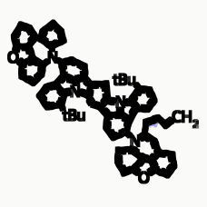 C=C/C=C\c1cc2cccc3oc4cccc(c4c23)n1-c1ccc2c3cc4c(cc3n3c5c(C(C)(C)C)cccc5c1c23)c1ccc(N(c2ccccc2)c2cccc3oc5ccccc5c23)c2c3cccc(C(C)(C)C)c3n4c12